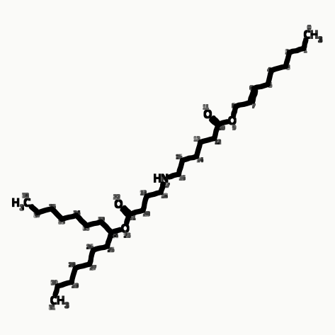 CCCCCCC=CCOC(=O)CCCCCNCCCC(=O)OC(CCCCCCC)CCCCCCC